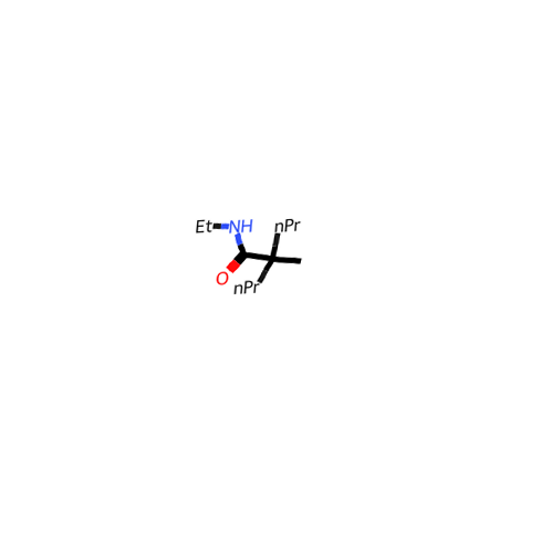 CCCC(C)(CCC)C(=O)NCC